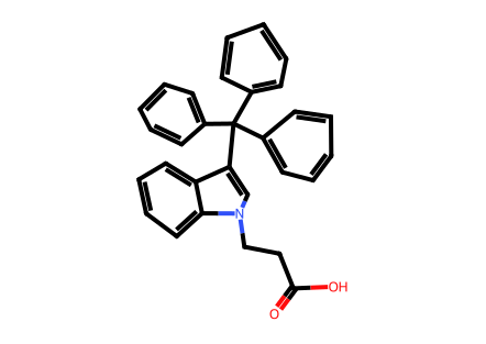 O=C(O)CCn1cc(C(c2ccccc2)(c2ccccc2)c2ccccc2)c2ccccc21